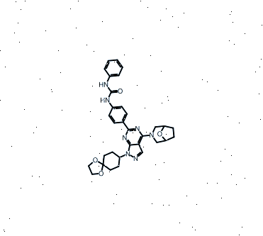 O=C(Nc1ccccc1)Nc1ccc(-c2nc(N3CC4CCC(C3)O4)c3cnn(C4CCC5(CC4)OCCO5)c3n2)cc1